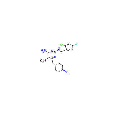 Nc1nc(NCc2ccc(F)cc2Cl)nc(C[C@H]2CC[C@H](N)CC2)c1[N+](=O)[O-]